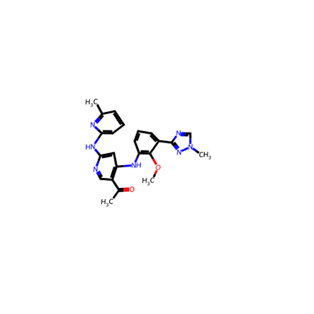 COc1c(Nc2cc(Nc3cccc(C)n3)ncc2C(C)=O)cccc1-c1ncn(C)n1